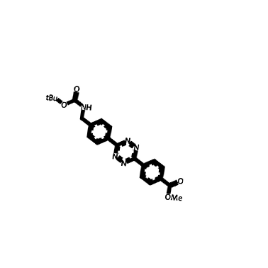 COC(=O)c1ccc(-c2nnc(-c3ccc(CNC(=O)OC(C)(C)C)cc3)nn2)cc1